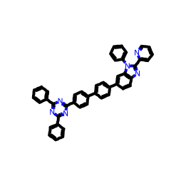 c1ccc(-c2nc(-c3ccccc3)nc(-c3ccc(-c4ccc(-c5ccc6nc(-c7ccccn7)n(-c7ccccc7)c6c5)cc4)cc3)n2)cc1